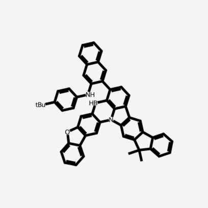 CC(C)(C)c1ccc(Nc2cc3ccccc3cc2-c2ccc3c4cc5c(cc4n4c3c2Bc2cc3oc6ccccc6c3cc2-4)C(C)(C)c2ccccc2-5)cc1